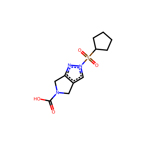 O=C(O)N1Cc2cn(S(=O)(=O)C3CCCC3)nc2C1